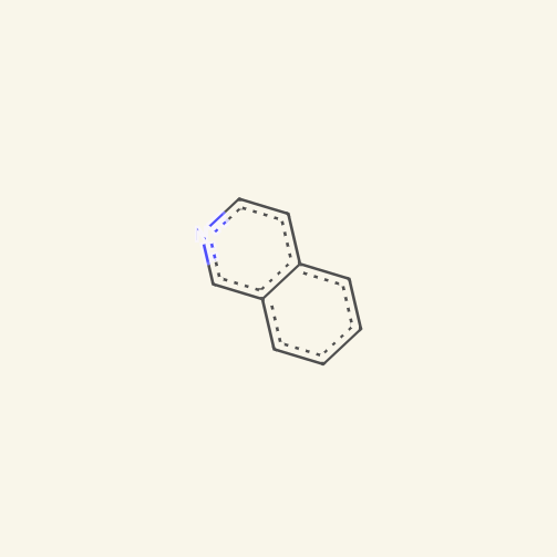 [c]1[c]c2ccccc2[c]n1